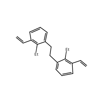 C=Cc1cccc(CCc2cccc(C=C)c2CC)c1CC